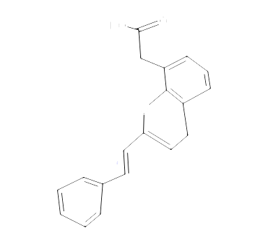 O=C(O)Cc1cccc2c1OC(/C=C/c1ccccc1)=CC2